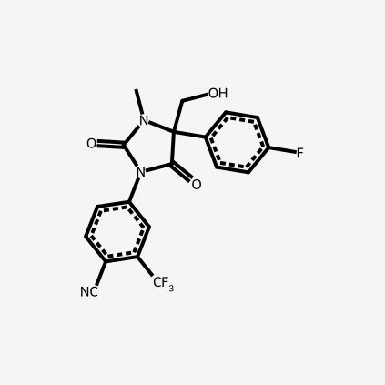 CN1C(=O)N(c2ccc(C#N)c(C(F)(F)F)c2)C(=O)C1(CO)c1ccc(F)cc1